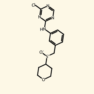 [O-][S+](Cc1cccc(Nc2ncnc(Cl)n2)c1)C1CCOCC1